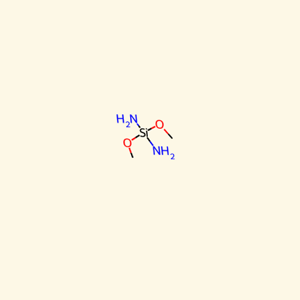 CO[Si](N)(N)OC